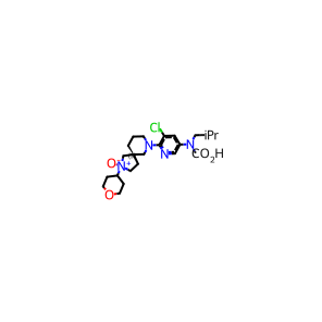 CC(C)CN(C(=O)O)c1cnc(N2CCC[C@]3(CC[N+]([O-])(C4CCOCC4)C3)C2)c(Cl)c1